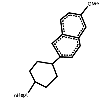 CCCCCCCC1CCC(c2ccc3cc(OC)ccc3c2)CC1